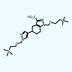 C[Si](C)(C)CCOCn1cc(C2CCc3c(c(C(=O)O)nn3COCC[Si](C)(C)C)C2)cn1